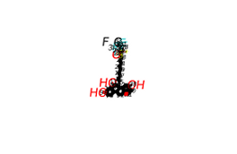 C[C@]12CCC3c4ccc(O)cc4[C@@H](O)[C@@H](CCCCCCCCC[S+]([O-])CC(F)(F)C(F)(F)C(F)(F)F)C3C1C[C@@H](O)C21CC1